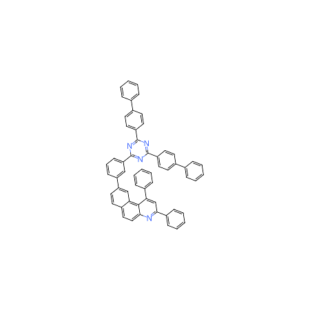 c1ccc(-c2ccc(-c3nc(-c4ccc(-c5ccccc5)cc4)nc(-c4cccc(-c5ccc6ccc7nc(-c8ccccc8)cc(-c8ccccc8)c7c6c5)c4)n3)cc2)cc1